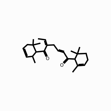 CC=C(CC=CC(=O)C1C(C)=CCCC1(C)C)C(=O)C1C(C)C=CCC1(C)C